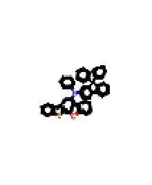 c1ccc(N(c2ccc3c(c2)C(c2ccccc2)(c2ccccc2)c2ccccc2-3)c2cc3c4ccccc4sc3c3oc4ccccc4c23)cc1